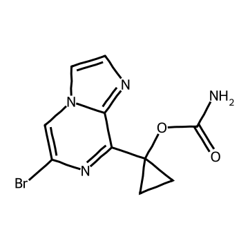 NC(=O)OC1(c2nc(Br)cn3ccnc23)CC1